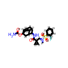 CN(CC1(C(=O)NC2C3CC4CC2CC(OC(N)=O)(C4)C3)CC1)S(=O)(=O)c1ccccc1F